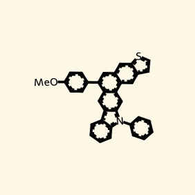 COc1ccc(-c2cc3cc4sccc4cc3c3cc4c(cc23)c2ccccc2n4-c2ccccc2)cc1